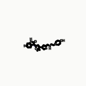 CC1(C)O/C(=C2/C(=O)Nc3cc(F)ccc32)C=C1C1C=C(CNCCN2CCC(O)CC2)SC1